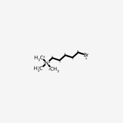 C[N+](C)(C)CCCCCBr